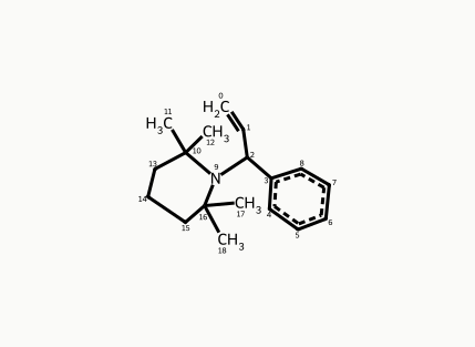 C=CC(c1ccccc1)N1C(C)(C)CCCC1(C)C